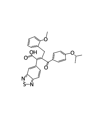 COc1ccccc1C/C(C(=O)c1ccc(OC(C)C)cc1)=C(\C(=O)O)c1ccc2nsnc2c1